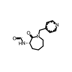 O=[C]N[C@H]1CCCCN(Cc2ccncc2)C1=O